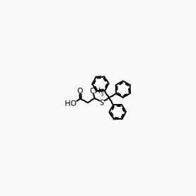 CC(CC(=O)O)SC(c1ccccc1)(c1ccccc1)c1ccccc1